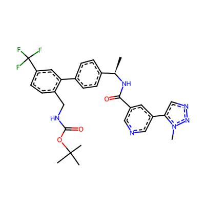 C[C@@H](NC(=O)c1cncc(-c2cnnn2C)c1)c1ccc(-c2cc(C(F)(F)F)ccc2CNC(=O)OC(C)(C)C)cc1